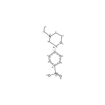 CCN1CCO[C@H](c2ccc([N+](=O)[O-])cc2)C1